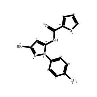 Cc1ccc(-n2nc(C(C)(C)C)cc2NC(=O)c2cccs2)cc1